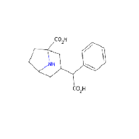 O=C(O)C(c1ccccc1)C1CC2CCC(C(=O)O)(C1)N2